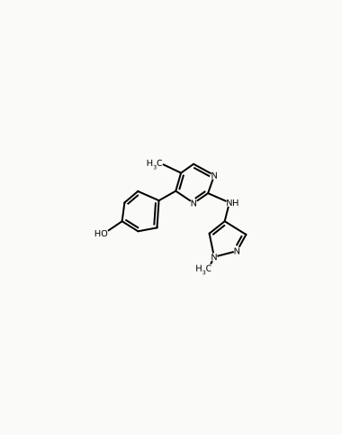 Cc1cnc(Nc2cnn(C)c2)nc1-c1ccc(O)cc1